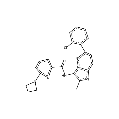 Cc1nc2ccc(-c3ccccc3Cl)nn2c1NC(=O)c1cccc(N2CCC2)n1